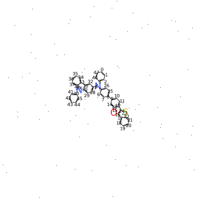 c1ccc(N(c2ccc(-c3ccc4c(c3)oc3c5ccccc5sc43)cc2)c2ccc3c(c2)c2ccccc2n3-c2ccccc2)cc1